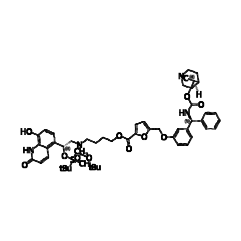 CC(C)(C)OC(=O)N(CCCCOC(=O)c1ccc(COc2cccc([C@@H](NC(=O)O[C@H]3CN4CCC3CC4)c3ccccc3)c2)o1)C[C@H](O[Si](C)(C)C(C)(C)C)c1ccc(O)c2[nH]c(=O)ccc12